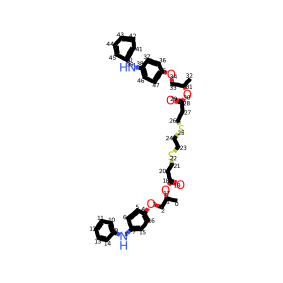 CC(COc1ccc(Nc2ccccc2)cc1)OC(=O)CCSCCSCCC(=O)OC(C)COc1ccc(Nc2ccccc2)cc1